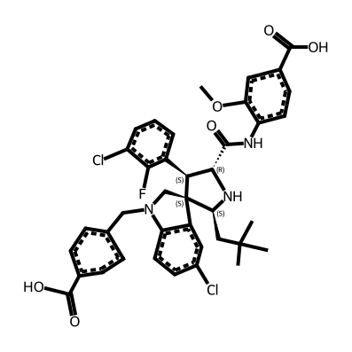 COc1cc(C(=O)O)ccc1NC(=O)[C@@H]1N[C@@H](CC(C)(C)C)[C@@]2(CN(Cc3ccc(C(=O)O)cc3)c3ccc(Cl)cc32)[C@H]1c1cccc(Cl)c1F